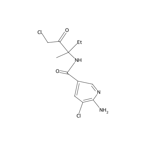 CCC(C)(NC(=O)c1cnc(N)c(Cl)c1)C(=O)CCl